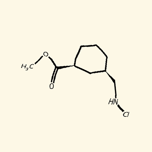 COC(=O)[C@H]1CCC[C@@H](CNCl)C1